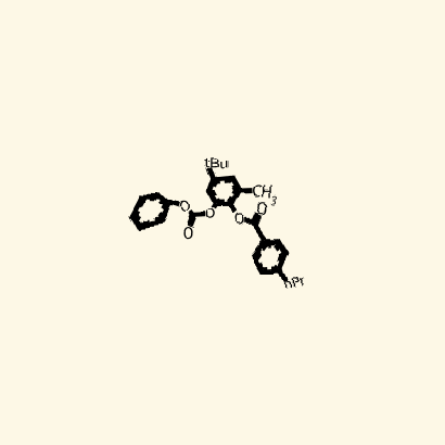 CCCc1ccc(C(=O)Oc2c(C)cc(C(C)(C)C)cc2OC(=O)Oc2ccccc2)cc1